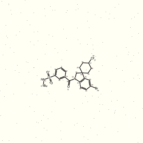 CC(C)(C)NS(=O)(=O)c1cccc(C(=O)N2CC3(CCC(C(F)(F)F)CC3)c3cc(Br)ccc32)c1